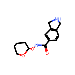 O=C(NOC1CCCCO1)c1ccc2c(c1)CNC2